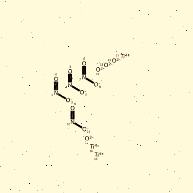 O=N[O-].O=N[O-].O=N[O-].O=N[O-].[O-2].[O-2].[O-2].[O-2].[Ti+4].[Ti+4].[Ti+4]